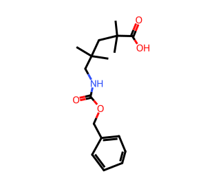 CC(C)(CNC(=O)OCc1ccccc1)CC(C)(C)C(=O)O